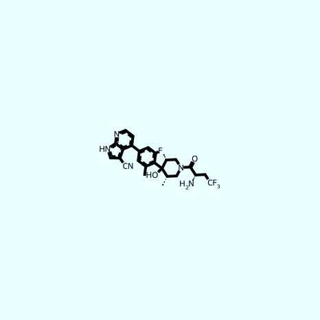 Cc1cc(-c2ccnc3[nH]cc(C#N)c23)cc(F)c1C1(O)[C@H](C)CN(C(=O)[C@@H](N)CC(F)(F)F)C[C@@H]1C